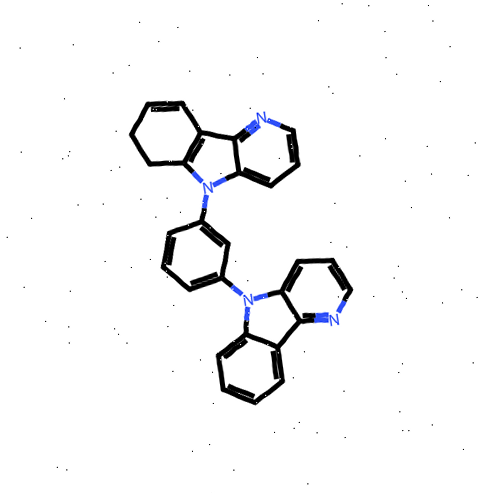 C1=Cc2c(n(-c3cccc(-n4c5ccccc5c5ncccc54)c3)c3cccnc23)CC1